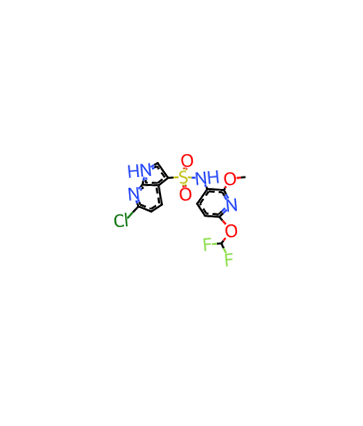 COc1nc(OC(F)F)ccc1NS(=O)(=O)c1c[nH]c2nc(Cl)ccc12